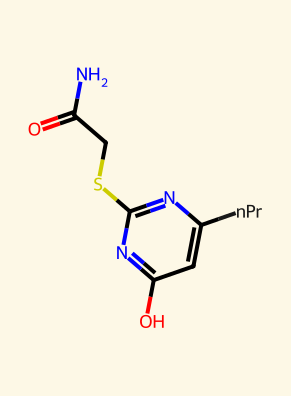 CCCc1cc(O)nc(SCC(N)=O)n1